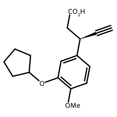 C#C[C@H](CC(=O)O)c1ccc(OC)c(OC2CCCC2)c1